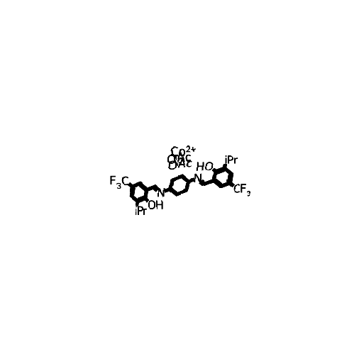 CC(=O)[O-].CC(=O)[O-].CC(C)c1cc(C(F)(F)F)cc(C=NC2CCC(N=Cc3cc(C(F)(F)F)cc(C(C)C)c3O)CC2)c1O.[Co+2]